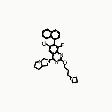 Fc1c(-c2cccc3ccccc23)c(Cl)cc2c(N3CC4CCCN4C3)nc(OCCCN3CCC3)nc12